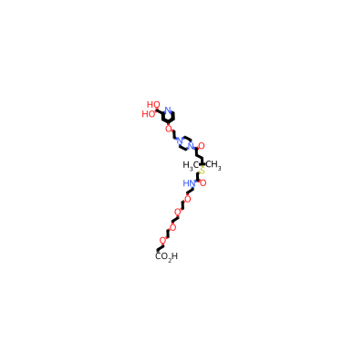 CC(C)(CCC(=O)N1CCN(CCOc2ccnc(C(O)O)c2)CC1)SCC(=O)NCCOCCOCCOCCOCCC(=O)O